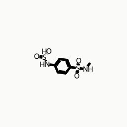 CNS(=O)(=O)c1ccc(N[SH](=O)=O)cc1